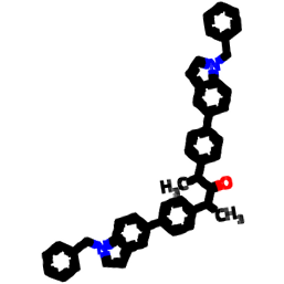 CC(C(=O)C(C)c1ccc(-c2ccc3c(ccn3Cc3ccccc3)c2)cc1)c1ccc(-c2ccc3c(ccn3Cc3ccccc3)c2)cc1